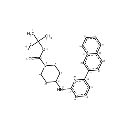 CC(C)(C)OC(=O)N1CCC(Nc2nccc(-c3ccc4ccccc4c3)n2)CC1